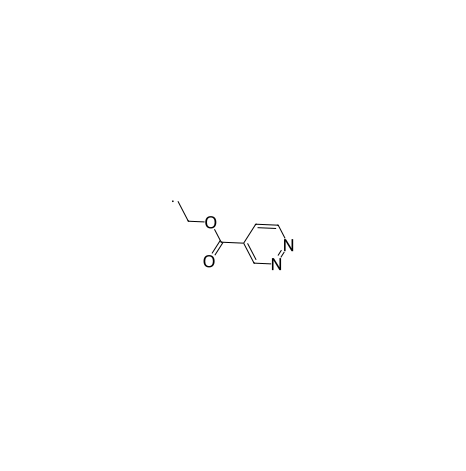 [CH2]COC(=O)c1ccnnc1